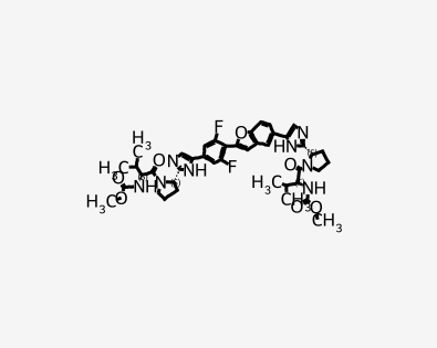 COC(=O)N[C@H](C(=O)N1CCC[C@H]1c1ncc(-c2cc(F)c(-c3cc4cc(-c5cnc([C@@H]6CCCN6C(=O)[C@@H](NC(=O)OC)C(C)C)[nH]5)ccc4o3)c(F)c2)[nH]1)C(C)C